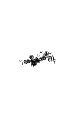 C=C(CC)CCC1=C(CN2CCN(c3ccc(C(=O)NS(=O)(=O)c4ccc(N[C@H](CCN5CCC(OC)CC5)CSc5ccccc5)c(S(=O)(=O)C(F)(F)F)c4)cc3)CC2)CCC(C)(C)C1